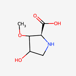 COC1C(O)CN[C@@H]1C(=O)O